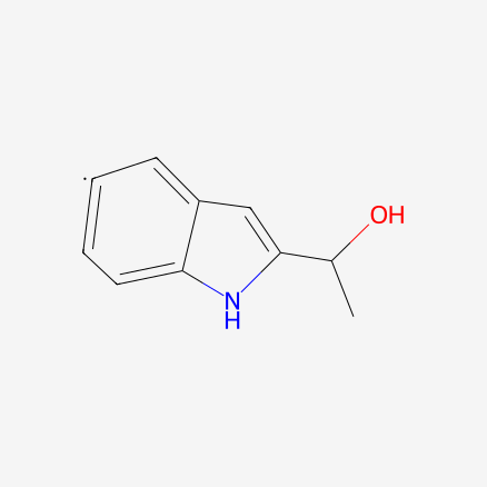 CC(O)c1cc2c[c]ccc2[nH]1